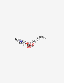 CCCCCCCCCCCCCCCCC(COP(O)OCCCCN(C)C)OC=O